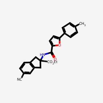 CCOC(=O)C1(NC(=O)c2ccc(-c3ccc(C)cc3)o2)Cc2ccc(C#N)cc2C1